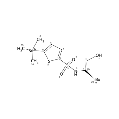 CC[C@H](C)[C@@H](CO)NS(=O)(=O)c1cc[c]([Sn]([CH3])([CH3])[CH3])s1